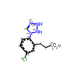 O=C(O)CCc1cc(Cl)ccc1N1C=NNN1